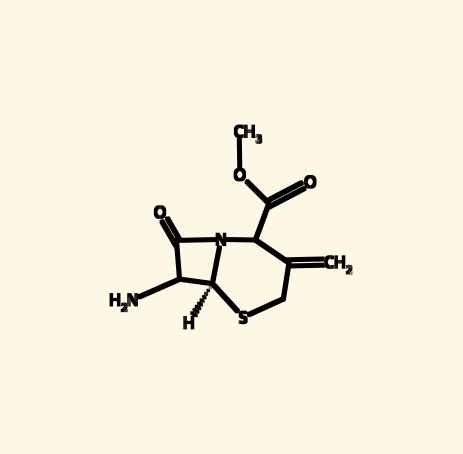 C=C1CS[C@H]2C(N)C(=O)N2C1C(=O)OC